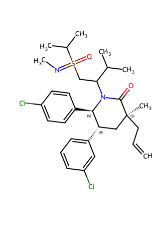 C=CC[C@@]1(C)C[C@H](c2cccc(Cl)c2)[C@@H](c2ccc(Cl)cc2)N(C(CS(=O)(=NC)C(C)C)C(C)C)C1=O